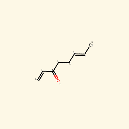 C=CC(=O)CC/C=C/CC